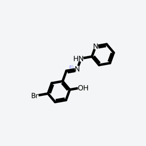 Oc1ccc(Br)cc1/C=N/Nc1ccccn1